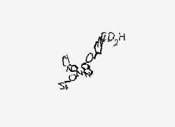 C[Si](C)(C)CCOCN(c1ccc(Cl)nc1)c1nccc2cc(OCC3CCN(C(=O)O)CC3)ccc12